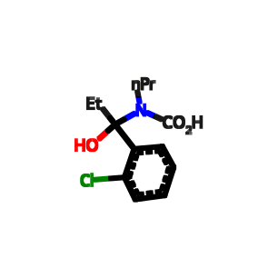 CCCN(C(=O)O)C(O)(CC)c1ccccc1Cl